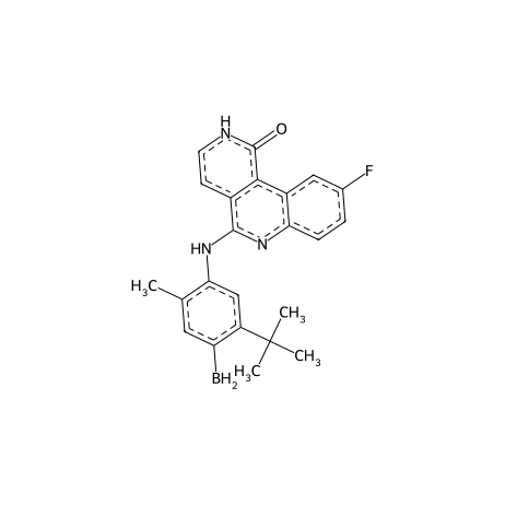 Bc1cc(C)c(Nc2nc3ccc(F)cc3c3c(=O)[nH]ccc23)cc1C(C)(C)C